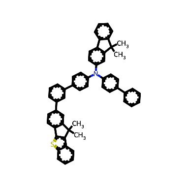 CC1(C)c2ccccc2-c2ccc(N(c3ccc(-c4ccccc4)cc3)c3ccc(-c4cccc(-c5ccc6c(c5)C(C)(C)c5c-6sc6ccccc56)c4)cc3)cc21